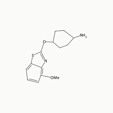 COc1cccc2sc(OC3CCC(N)CC3)nc12